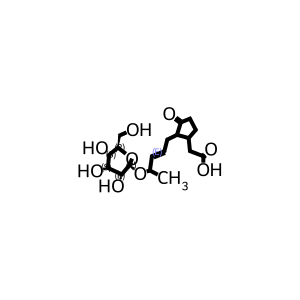 CC(/C=C/CC1C(=O)CCC1CC(=O)O)O[C@@H]1O[C@H](CO)[C@@H](O)[C@H](O)[C@H]1O